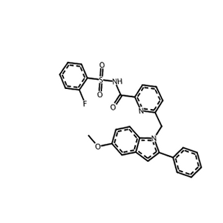 COc1ccc2c(c1)cc(-c1ccccc1)n2Cc1cccc(C(=O)NS(=O)(=O)c2ccccc2F)n1